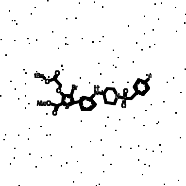 COC(=O)c1sc(-c2cccc(NC3CCN(S(=O)(=O)Cc4ccc(F)cc4)CC3)c2)c(Br)c1OCC(=O)OC(C)(C)C